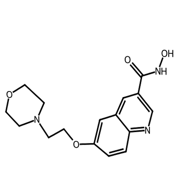 O=C(NO)c1cnc2ccc(OCCN3CCOCC3)cc2c1